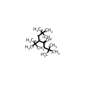 CC(C)(C)CC(=O)C(CC(C)(C)C)C(C)(C)C